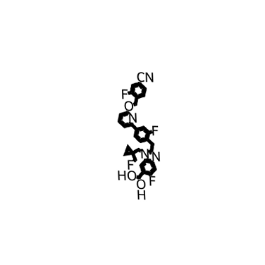 N#Cc1ccc(COc2cccc(-c3ccc(Cc4nc5cc(F)c(C(O)O)cc5n4CC4(CF)CC4)c(F)c3)n2)c(F)c1